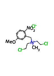 COc1ccc([N+](=O)[O-])c(C[N+](C)(CCCl)CCCl)c1.[Cl-]